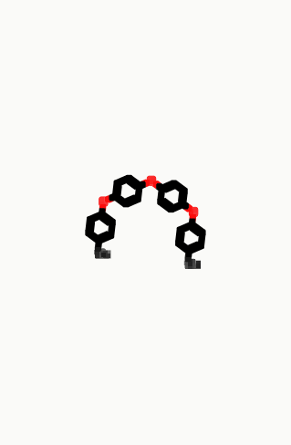 CC(C)(C)c1ccc(Oc2ccc(Oc3ccc(Oc4ccc(C(C)(C)C)cc4)cc3)cc2)cc1